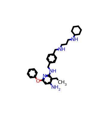 CCc1c(N)cc(Oc2ccccc2)nc1NCc1ccc(CNCCCNC2CCCCC2)cc1